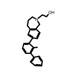 Cc1c(-c2ccccc2)cccc1-c1ccc2c(c1)CCCN(CCO)C2